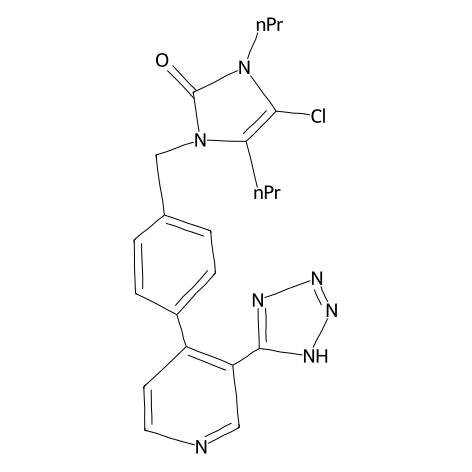 CCCc1c(Cl)n(CCC)c(=O)n1Cc1ccc(-c2ccncc2-c2nnn[nH]2)cc1